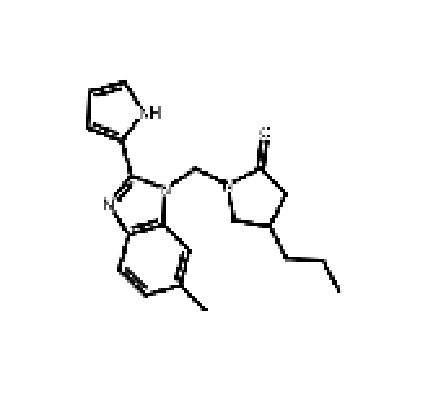 CCCC1CC(=O)N(Cn2c(-c3ccc[nH]3)nc3ccc(C)cc32)C1